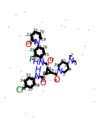 CN(C)C1CCN(C(=O)C2[C@@H](C(=O)Nc3ccc(-n4ccccc4=O)cc3F)[C@H]2C(=O)Nc2ccc(Cl)cc2)CC1